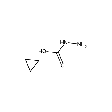 C1CC1.NNC(=O)O